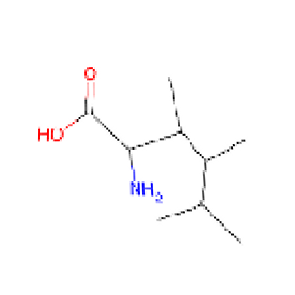 CC(C)C(C)C(C)C(N)C(=O)O